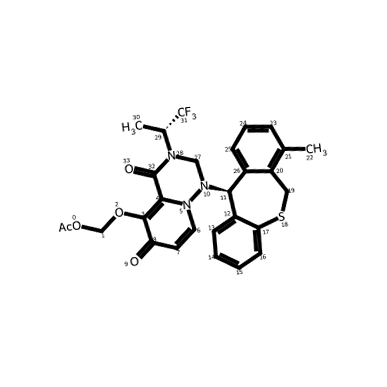 CC(=O)OCOc1c2n(ccc1=O)N([C@@H]1c3ccccc3SCc3c(C)cccc31)CN([C@H](C)C(F)(F)F)C2=O